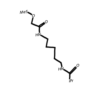 CSOCC(=O)NCCCCCNC(=O)C(C)C